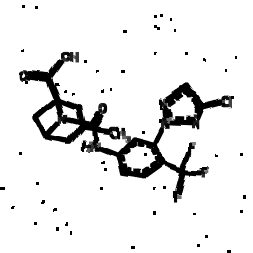 CC1CC2CC(C(=O)O)(C1)N2C(=O)Nc1ccc(C(F)(F)F)c(-n2ncc(Cl)n2)c1